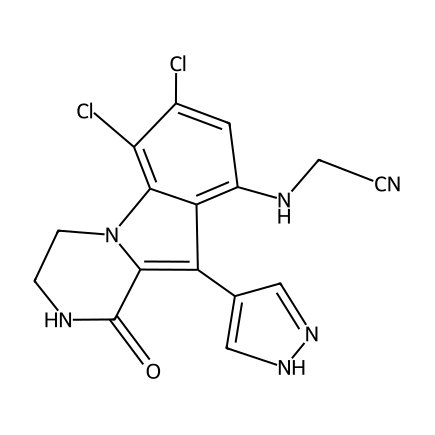 N#CCNc1cc(Cl)c(Cl)c2c1c(-c1cn[nH]c1)c1n2CCNC1=O